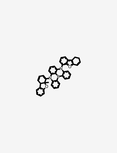 CC12Oc3ccccc3C1C=CC=C2N1c2ccccc2B2c3ccccc3N(c3cccc4c5c(oc34)C=CCC5)c3cccc1c32